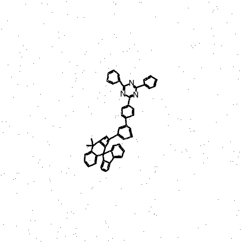 CC1(C)c2ccccc2C2(c3ccccc3-c3ccccc32)c2cc(-c3cccc(-c4ccc(-c5nc(-c6ccccc6)nc(-c6ccccc6)n5)cc4)c3)ccc21